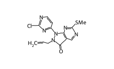 C=CCn1c(=O)c2cnc(SC)nc2n1-c1ccnc(Cl)n1